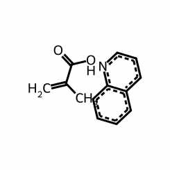 C=C(C)C(=O)O.c1ccc2ncccc2c1